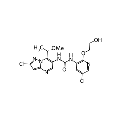 CO[C@@H](C)c1c(NC(=O)Nc2cc(Cl)cnc2OCCO)cnc2cc(Cl)nn12